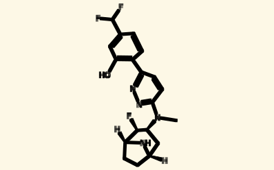 CN(c1ccc(-c2ccc(C(F)F)cc2O)nn1)[C@H]1C[C@@H]2CC[C@@H](N2)[C@H]1F